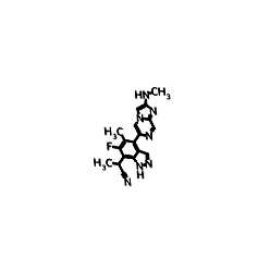 CNc1cn2cc(-c3c(C)c(F)c(C(C)C#N)c4[nH]ncc34)ncc2n1